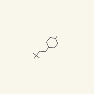 OC1CCC(CCC(F)(F)F)CC1